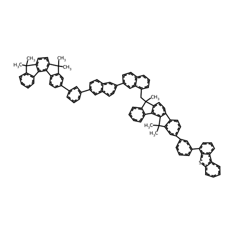 CC1(C)c2ccccc2-c2c1ccc1c2-c2ccc(-c3cccc(-c4ccc5cc(-c6ccc7cccc(CC8(C)c9ccccc9-c9c8ccc8c9C(C)(C)c9cc(-c%10cccc(-c%11cccc%12c%11sc%11ccccc%11%12)c%10)ccc9-8)c7c6)ccc5c4)c3)cc2C1(C)C